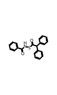 O=C(NSC(=O)C(c1ccccc1)c1ccccc1)c1ccccc1